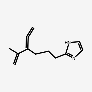 C=C=C(CCCc1ncc[nH]1)C(=C)C